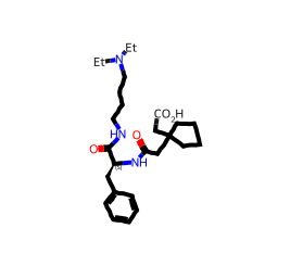 CCN(CC)CCCCNC(=O)[C@H](Cc1ccccc1)NC(=O)CC1(CC(=O)O)CCCC1